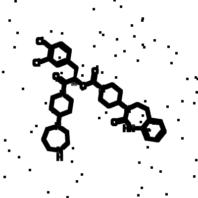 O=C(O[C@H](Cc1ccc(Cl)c(Cl)c1)C(=O)N1CCC(N2CCCNCC2)CC1)N1CCC(N2CCc3ccccc3NC2=O)CC1